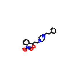 O=C(C=CN1CCN(CCc2ccccc2)CC1)c1ccccc1[N+](=O)[O-]